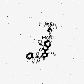 CCn1c(=O)c(-c2cc(NC(=O)Nc3ccccc3)c(F)cc2C)cc2cnc(NC(=O)N3CC(N(C)C)C3)cc21